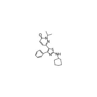 CC(C)n1nc(-c2sc(NC3CCCCC3)nc2-c2ccccc2)ccc1=O